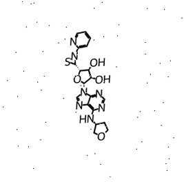 O[C@@H]1[C@H](O)[C@@H](C2SN2c2ccccn2)O[C@H]1n1cnc2c(N[C@H]3CCOC3)ncnc21